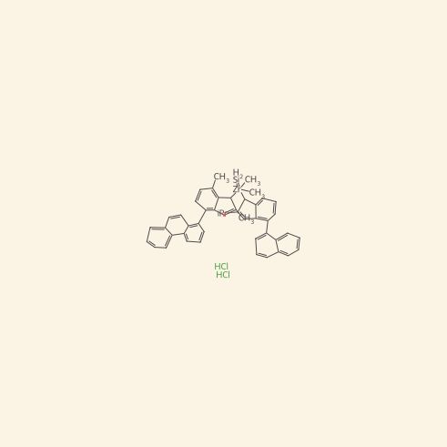 CC1=Cc2c(-c3cccc4c3ccc3ccccc34)ccc(C)c2[CH]1[Zr]([CH3])([CH3])(=[SiH2])[CH]1C(C(C)C)=Cc2c(-c3cccc4ccccc34)cccc21.Cl.Cl